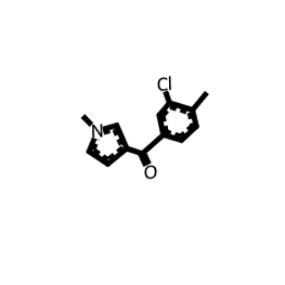 Cc1ccc(C(=O)c2ccn(C)c2)cc1Cl